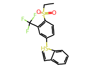 CCS(=O)(=O)c1ccc([SH]2C=Cc3ccccc32)cc1C(F)(F)F